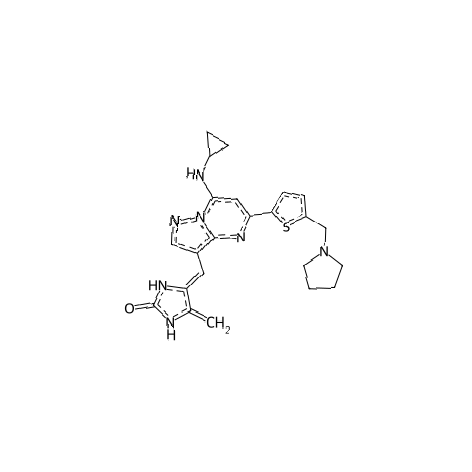 C=c1[nH]c(=O)[nH]/c1=C\c1cnn2c(NC3CC3)cc(-c3ccc(CN4CCCC4)s3)nc12